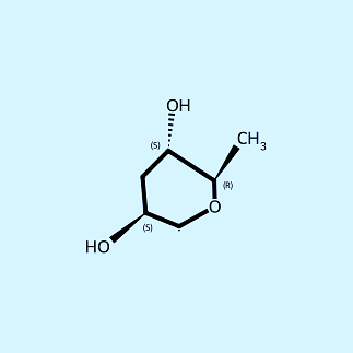 C[C@H]1O[CH][C@@H](O)C[C@@H]1O